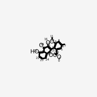 COC(=O)c1cc(C)cc(OC)c1C1=C(OC)C(=O)c2c(O)cccc2C1=O